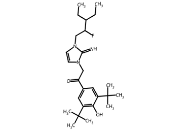 CCC(CC)C(F)Cn1ccn(CC(=O)c2cc(C(C)(C)C)c(O)c(C(C)(C)C)c2)c1=N